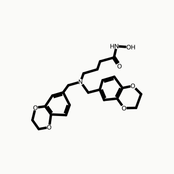 O=C(CCCN(Cc1ccc2c(c1)OCCO2)Cc1ccc2c(c1)OCCO2)NO